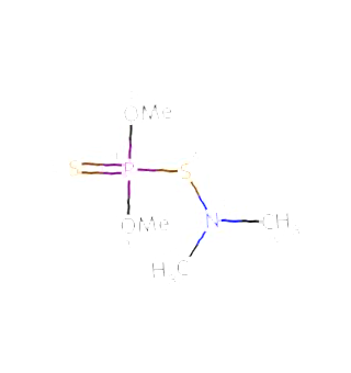 COP(=S)(OC)SN(C)C